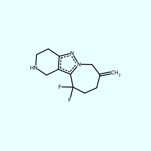 C=C1CCC(F)(F)c2c3c(nn2C1)CCNC3